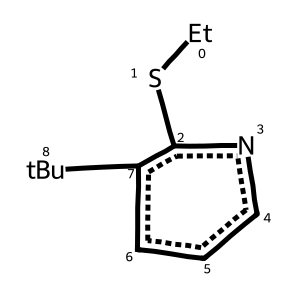 CCSc1ncccc1C(C)(C)C